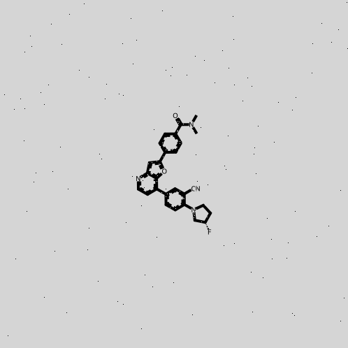 CN(C)C(=O)c1ccc(-c2cc3nccc(-c4ccc(N5CC[C@H](F)C5)c(C#N)c4)c3o2)cc1